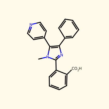 Cn1c(-c2ccccc2C(=O)O)nc(-c2ccccc2)c1-c1ccncc1